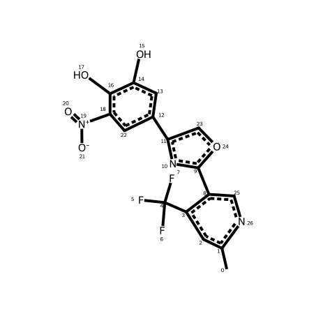 Cc1cc(C(F)(F)F)c(-c2nc(-c3cc(O)c(O)c([N+](=O)[O-])c3)co2)cn1